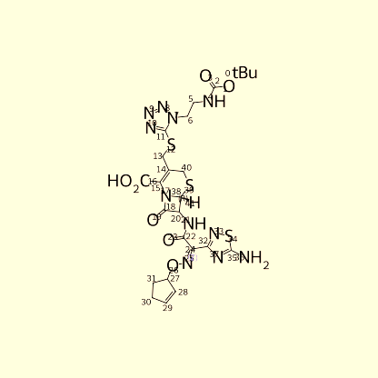 CC(C)(C)OC(=O)NCCn1nnnc1SCC1=C(C(=O)O)N2C(=O)C(NC(=O)/C(=N\OC3C=CCC3)c3nsc(N)n3)[C@H]2SC1